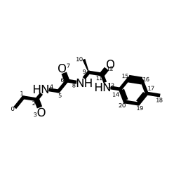 CCC(=O)NCC(=O)N[C@@H](C)C(=O)Nc1c#cc(C)cc1